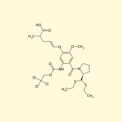 CCSC(SCC)[C@@H]1CCCN1C(=O)c1cc(OC)c(OC=CCC(C)C(=O)O)cc1NC(=O)OCC(Cl)(Cl)Cl